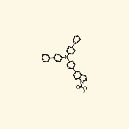 COC(=O)n1ccc2cc(-c3ccc(N(c4ccc(-c5ccccc5)cc4)c4ccc(-c5ccccc5)cc4)cc3)ccc21